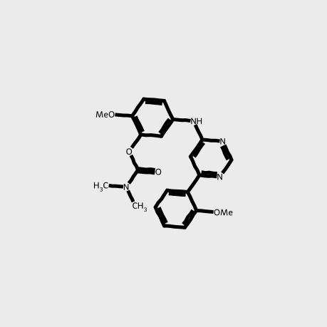 COc1ccc(Nc2cc(-c3ccccc3OC)ncn2)cc1OC(=O)N(C)C